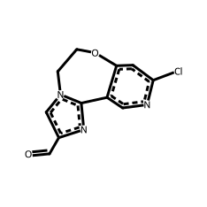 O=Cc1cn2c(n1)-c1cnc(Cl)cc1OCC2